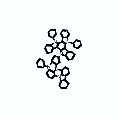 c1ccc(N2c3ccc(-n4c5ccccc5c5c6c(c7ccccc7n6-c6ccccc6)c6c(c7ccccc7n6-c6ccccc6)c54)cc3B3c4c2cccc4-n2c4ccccc4c4cccc3c42)cc1